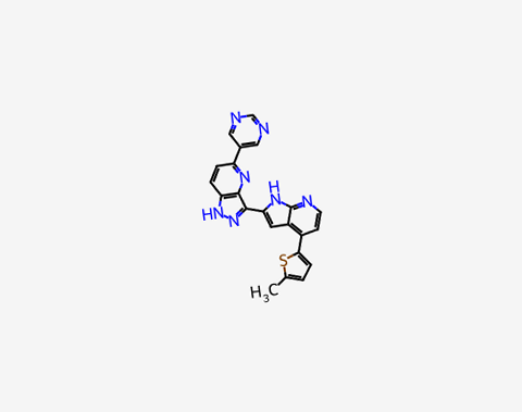 Cc1ccc(-c2ccnc3[nH]c(-c4n[nH]c5ccc(-c6cncnc6)nc45)cc23)s1